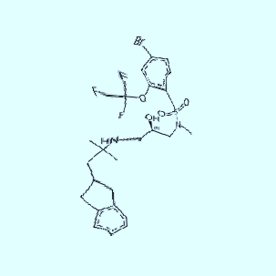 CN(C[C@H](O)CNC(C)(C)CC1Cc2ccccc2C1)S(=O)(=O)c1ccc(Br)cc1OC(F)(F)F